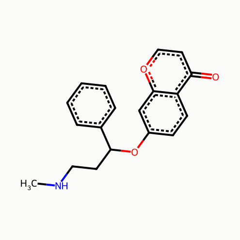 CNCCC(Oc1ccc2c(=O)ccoc2c1)c1ccccc1